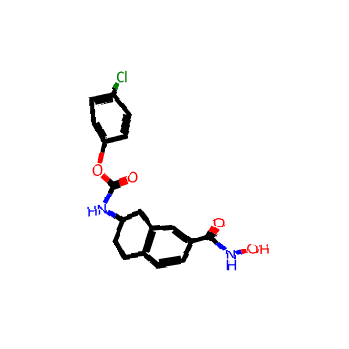 O=C(NC1CCc2ccc(C(=O)NO)cc2C1)Oc1ccc(Cl)cc1